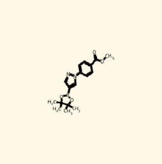 COC(=O)c1ccc(-n2cc(B3OC(C)(C)C(C)(C)O3)cn2)cc1